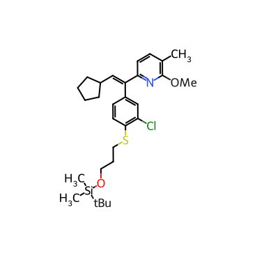 COc1nc(C(=CC2CCCC2)c2ccc(SCCCO[Si](C)(C)C(C)(C)C)c(Cl)c2)ccc1C